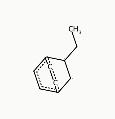 CC[C]1[CH]c2ccc1cc2